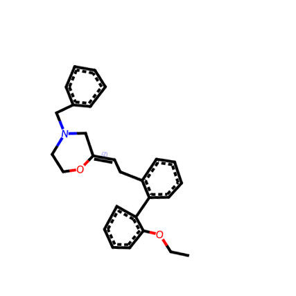 CCOc1ccccc1-c1ccccc1C/C=C1/CN(Cc2ccccc2)CCO1